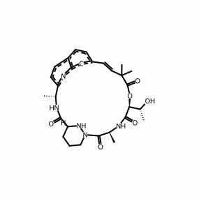 C[C@@H]1NC(=O)[C@H]([C@@H](C)O)OC(=O)C(C)(C)/C=C/c2ccc3ccc(nc3c2)[C@@H](C)NC(=O)[C@@H]2CCCN(N2)C1=O